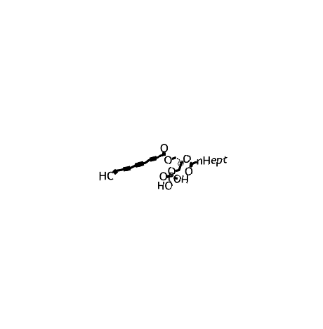 C#CC#CC#CC#CC(=O)OC[C@@H](COP(=O)(O)O)OC(=O)CCCCCCC